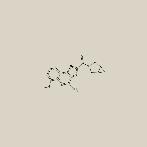 COc1cccc2c1nc(N)n1cc(C(=O)N3CC4CC4C3)nc21